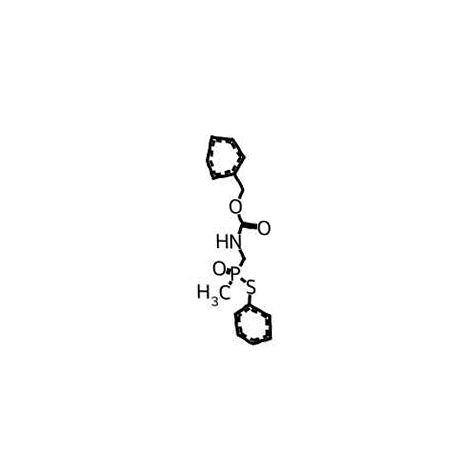 CP(=O)(CNC(=O)OCc1ccccc1)Sc1ccccc1